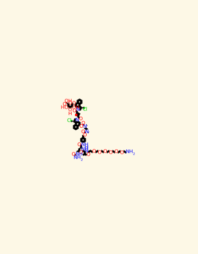 CC(C)[C@H](NC(=O)CCOCCOCCOCCOCCOCCOCCN)C(=O)N[C@@H](CCCNC(N)=O)C(=O)Nc1ccc(COC(=O)N(C)CCN(C)C(=O)Oc2cc3c(c4ccccc24)[C@H](CCl)CN3C(=O)C23CC(C(=O)N4C[C@@H](CCl)c5c4cc(O[C@@H]4O[C@H](C(=O)O)[C@@H](O)[C@H](O)[C@H]4O)c4ccccc54)(C2)C3)cc1